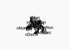 CCCCCCCCCCCC(=O)O[C@H](CCCCCCCCC)CC(=O)NC1[C@H](OCC2OC(O)C(NC(=O)C[C@H](O)CCCCCCCCC)[C@@H](OC(=O)C[C@H](O)CCCCCCCCC)[C@@H]2O)OC(CO)[C@@H](OP(=O)(O)O)[C@@H]1OC(=O)C[C@@H](CCCCCCCCC)OC(=O)CCCCCCCCCCC